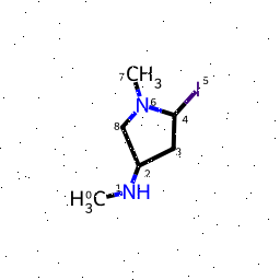 CNC1CC(I)N(C)C1